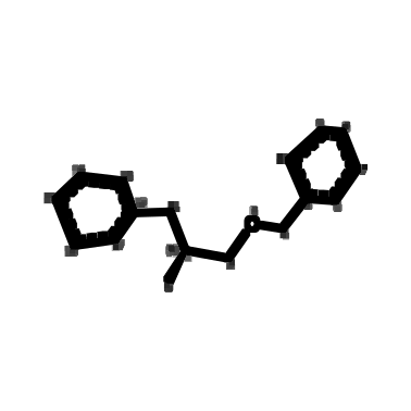 C[C@H](COCc1ccccc1)Cc1ccccc1